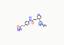 CC(C)n1cc(-c2ccncc2C=CC(=O)Nc2ccc(CCc3nnco3)cc2)cn1